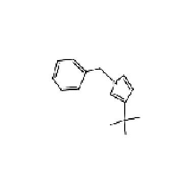 CC(C)(C)c1ccn(Cc2ccccc2)c1